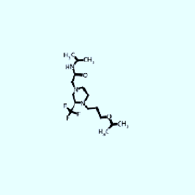 CC(C)NC(=O)CN1CCN(CCCOC(C)C)[C@@H](C(F)(F)F)C1